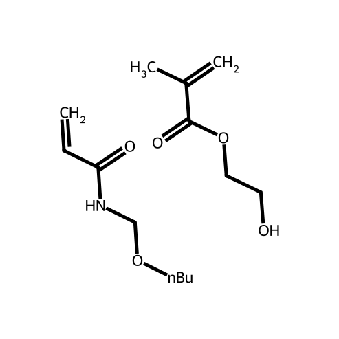 C=C(C)C(=O)OCCO.C=CC(=O)NCOCCCC